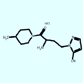 CC1CCN(C(=O)C(N)CCn2nccc2C#N)CC1.Cl